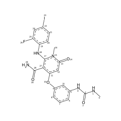 CNC(=O)Nc1cccc(Oc2cc(=O)n(C)c(Nc3ccc(I)cc3F)c2C(N)=O)c1